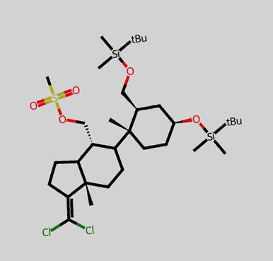 CC(C)(C)[Si](C)(C)OC[C@H]1C[C@@H](O[Si](C)(C)C(C)(C)C)CC[C@]1(C)C1CC[C@]2(C)C(=C(Cl)Cl)CCC2[C@@H]1COS(C)(=O)=O